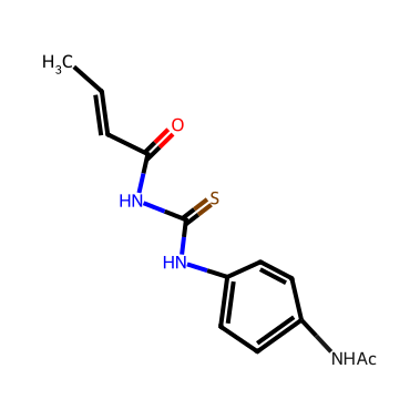 CC=CC(=O)NC(=S)Nc1ccc(NC(C)=O)cc1